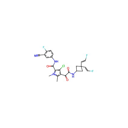 Cc1c(C(=O)C(=O)NC2CC(C=CF)(C=CF)C2)c(Cl)c(C(=O)Nc2ccc(F)c(C#N)c2)n1C